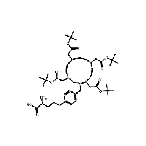 CC(C)(C)OC(=O)CN1CCN(CC(=O)OC(C)(C)C)CCN(CC(=O)OC(C)(C)C)[C@@H](Cc2ccc(CCC[C@H](N)C(=O)O)cc2)CN(CC(=O)OC(C)(C)C)CC1